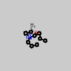 Cc1cccc(-c2ccccc2-c2nc(-c3cccc(-c4cccc(-c5ccccc5)c4)c3)nc(-c3ccc4c(c3)oc3cccc(-c5cccc(-c6ccccc6)c5)c34)n2)c1